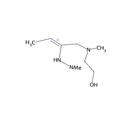 C/C=C(/CN(C)CCO)NNC